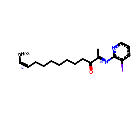 CCCCCC/C=C\CCCCCCCC(=O)/C(C)=N/c1ncccc1I